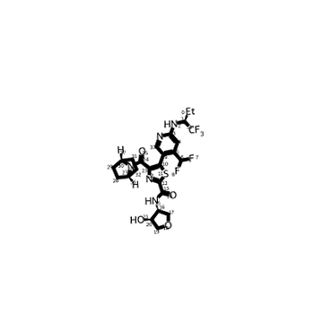 CC[C@H](Nc1cc(C(F)F)c(-c2sc(C(=O)N[C@@H]3COC[C@H]3O)nc2C(=O)N2[C@H]3CC[C@@H]2CC3)cn1)C(F)(F)F